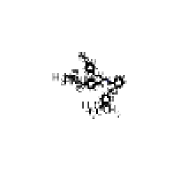 CC(C)(C)c1ccc(COc2ccccc2/C=C/C(CCc2ccc(C#N)cc2)Cc2ccc(C(=O)NNC(N)=O)cc2)cc1